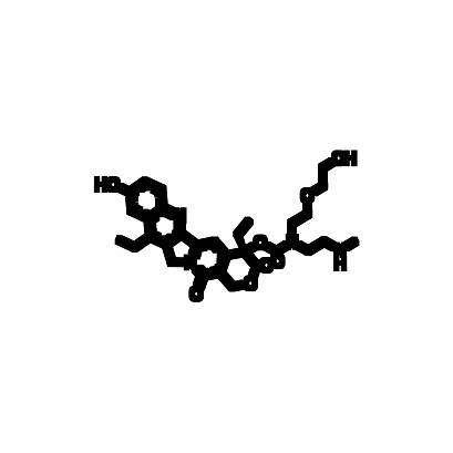 CCc1c2c(nc3ccc(O)cc13)-c1cc3c(c(=O)n1C2)COC(=O)[C@@]3(CC)OC(=O)N(CCNC)CCOCCO